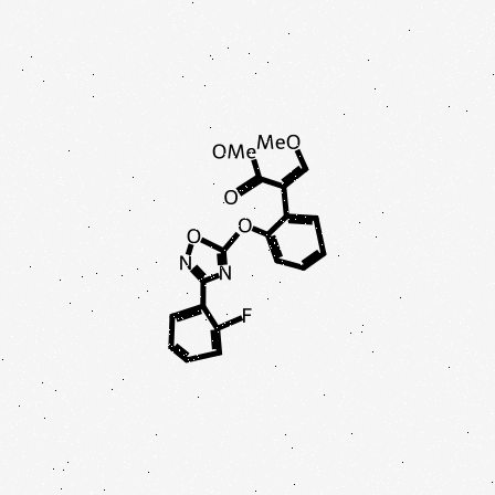 COC=C(C(=O)OC)c1ccccc1Oc1nc(-c2ccccc2F)no1